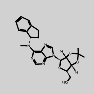 CN(c1ncnc2c1ncn2[C@@H]1O[C@H](CO)[C@H]2OC(C)(C)O[C@H]21)[C@H]1CCc2ccccc21